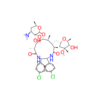 CO[C@]1(C)C[C@@H](C)C(=O)NC(c2ccc(Cl)cc2)C(c2ccc(Cl)cc2)NC(=O)[C@H](C)[C@@H](C[C@H]2C[C@@](C)(OC)[C@@H](O)[C@H](C)O2)[C@H](C)[C@H]1O[C@@H]1O[C@H](C)C[C@H](N(C)C)[C@H]1O